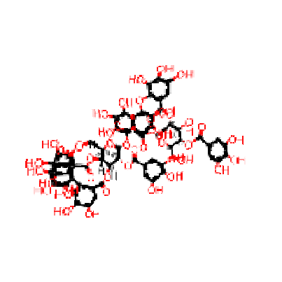 O=C(O[C@H]1O[C@H](CO)[C@@H](OC(=O)c2cc(O)c(O)c(O)c2)[C@H](O)[C@H]1OC(=O)c1cc(O)c(O)c(O)c1Oc1cc(C(=O)O[C@H]2O[C@@H]3COC(=O)c4cc(O)c(O)c(O)c4-c4c(cc(O)c(O)c4O)C(=O)O[C@H]([C@H]2OC(=O)c2cc(O)c(O)c(O)c2)[C@@H]3OC(=O)c2cc(O)c(O)c(O)c2)cc(O)c1O)c1cc(O)c(O)c(O)c1